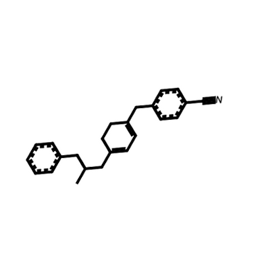 CC(CC1=CC=C(Cc2ccc(C#N)cc2)CC1)Cc1ccccc1